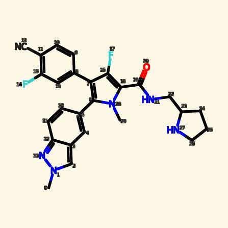 Cn1cc2cc(-c3c(-c4ccc(C#N)c(F)c4)c(F)c(C(=O)NCC4CCCN4)n3C)ccc2n1